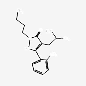 CCCCn1[nH]c(-c2ccccc2C)c(CC(C)C)c1=O